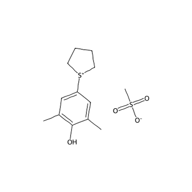 CS(=O)(=O)[O-].Cc1cc([S+]2CCCC2)cc(C)c1O